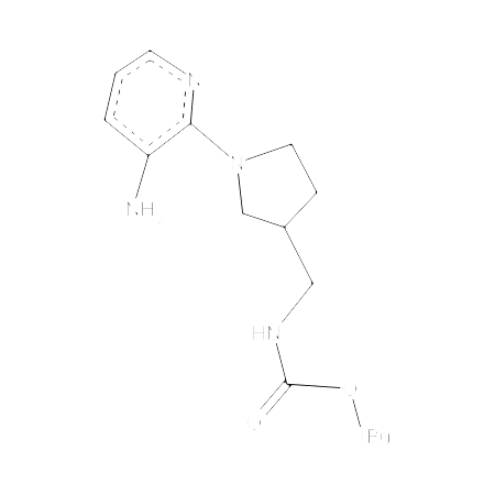 CC(C)(C)OC(=O)NCC1CCN(c2ncccc2N)C1